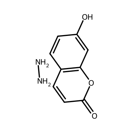 NN.O=c1ccc2ccc(O)cc2o1